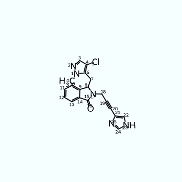 Cn1ncc(Cl)c1CC1c2ccccc2C(=O)N1CC#Cc1c[nH]cn1